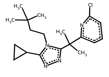 CC(C)(C)CCn1c(C2CC2)nnc1C(C)(C)c1cccc(Cl)n1